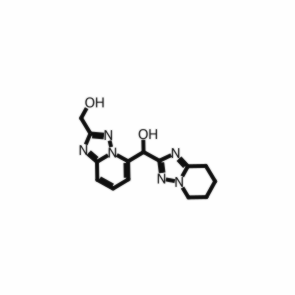 OCc1nc2cccc(C(O)c3nc4n(n3)CCCC4)n2n1